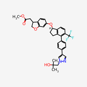 COC(=O)CC1COc2cc(O[C@@H]3CCc4c3ccc(C(F)(F)F)c4-c3ccc(-c4cnn(CC(C)(C)O)c4)cc3)ccc21